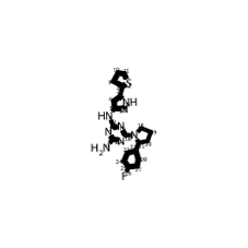 Nc1nc(Nc2cc(-c3cccs3)[nH]n2)nc(N2CCCC2c2ccc(F)cc2)n1